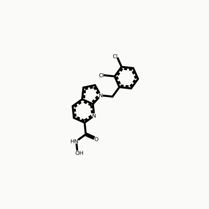 O=C(NO)c1ccc2ccn(Cc3cccc(Cl)c3Cl)c2n1